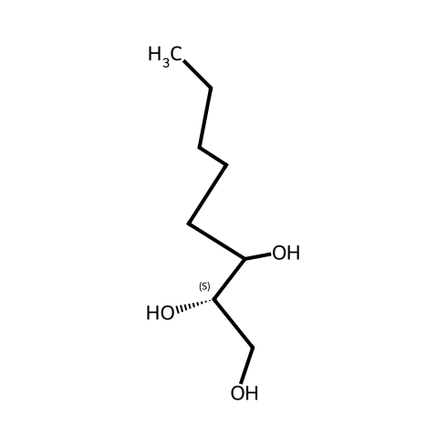 CCCCCC(O)[C@@H](O)CO